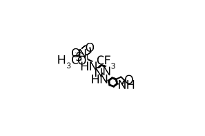 CS(=O)(=O)N1CCOC[C@H]1CCNc1nc(Nc2ccc3c(c2)CC(=O)N3)ncc1C(F)(F)F